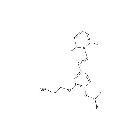 CSCCOc1cc(/C=C/N2C(C)=CC=CC2C)ccc1OC(F)F